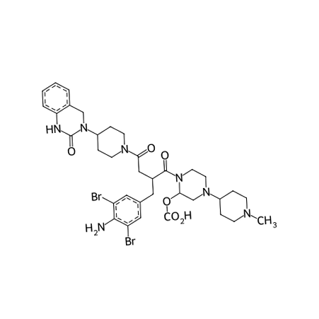 CN1CCC(N2CCN(C(=O)C(CC(=O)N3CCC(N4Cc5ccccc5NC4=O)CC3)Cc3cc(Br)c(N)c(Br)c3)C(OC(=O)O)C2)CC1